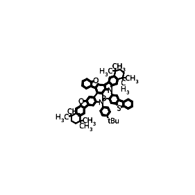 CC(C)(C)c1ccc(N2B3c4cc5sc6ccccc6c5cc4-n4c5cc6c(cc5c5c7oc8ccccc8c7c(c3c54)-c3cc4oc5cc7c(cc5c4cc32)C(C)(C)CCC7(C)C)C(C)(C)CCC6(C)C)cc1